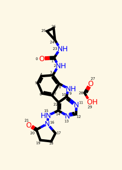 O=C(Nc1cccc2c1[nH]c1ncnc(NN3CCCC3=O)c12)NC1CC1.O=CO